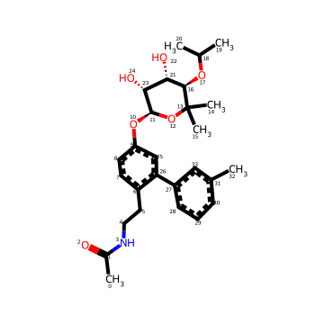 CC(=O)NCCc1ccc(O[C@@H]2OC(C)(C)[C@H](OC(C)C)[C@@H](O)[C@H]2O)cc1-c1cccc(C)c1